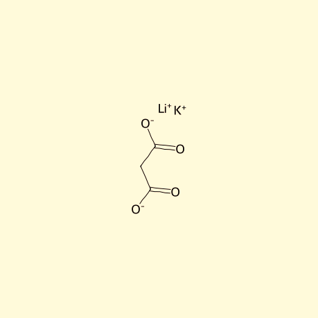 O=C([O-])CC(=O)[O-].[K+].[Li+]